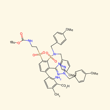 COc1ccc(CN(Cc2ccc(OC)cc2)S(=O)(=O)c2c(S(=O)(=O)CCNC(=O)OC(C)(C)C)ccc(-c3ccc(C)c(C(=O)O)c3N)c2-c2nnn(Cc3ccc(OC)cc3)n2)cc1